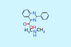 CNC.O=C(O)c1nc(-c2ccccc2)nc2ccccc12